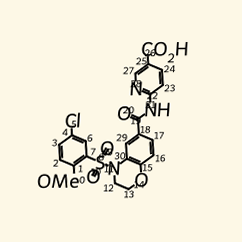 COc1ccc(Cl)cc1S(=O)(=O)N1CCOc2ccc(C(=O)Nc3ccc(C(=O)O)cn3)cc21